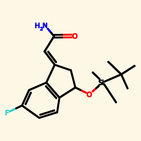 CC(C)(C)[Si](C)(C)OC1CC(=CC(N)=O)c2cc(F)ccc21